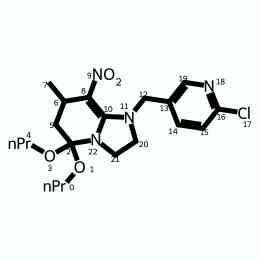 CCCOC1(OCCC)CC(C)C([N+](=O)[O-])=C2N(Cc3ccc(Cl)nc3)CCN21